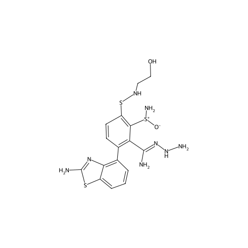 NN/N=C(\N)c1c(-c2cccc3sc(N)nc23)ccc(SNCCO)c1[S+](N)[O-]